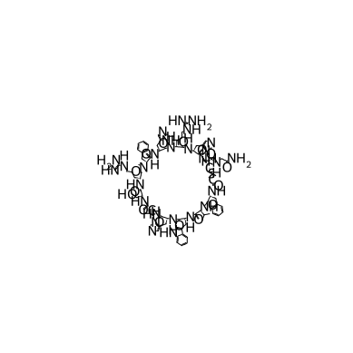 CC(C)[C@@H]1NC(=O)[C@H](Cc2ccccc2)NC(=O)CSC[C@@H](C(=O)NCC(N)=O)NC(=O)[C@H](Cc2cnc[nH]2)NC(=O)[C@H](CCCNC(=N)N)NC(=O)[C@H](Cc2cnc[nH]2)NC(=O)[C@H](Cc2ccccc2)N(C)C(=O)[C@H](CCCNC(=N)N)NC(=O)[C@H](CO)NC(=O)CNC(=O)[C@H](Cc2cnc[nH]2)NC(=O)[C@H](Cc2c[nH]c3ccccc23)NC1=O